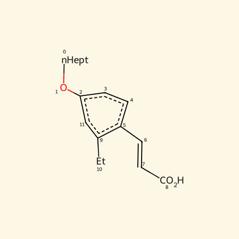 CCCCCCCOc1ccc(C=CC(=O)O)c(CC)c1